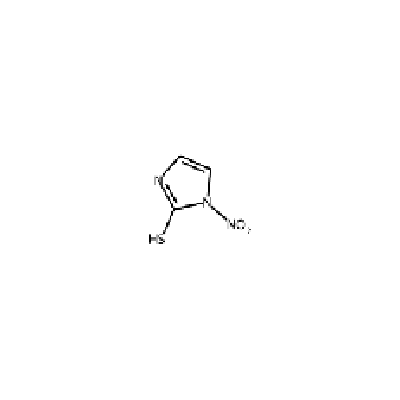 O=[N+]([O-])n1ccnc1S